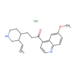 C=CC1CNCCC1CCC(=O)c1ccnc2ccc(OC)cc12.Cl